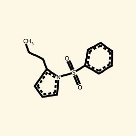 CCCc1cccn1S(=O)(=O)c1ccccc1